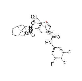 CC1CC1C(=O)NCC1(O)C2CCC1CC(S(=O)(=O)c1cc(C(=O)Nc3cc(F)c(F)c(F)c3)ccc1Cl)C2